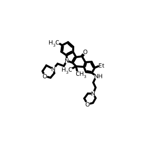 CCc1cc2c(cc1NCCN1CCOCC1)C(C)(C)c1c(c3ccc(C)cc3n1CCN1CCOCC1)C2=O